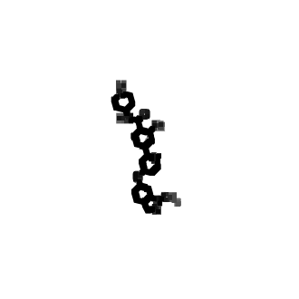 CCc1cc(-c2cc(Oc3ccc4cnn(C)c4c3)ccn2)ccc1C(=O)NC1CCNCC1